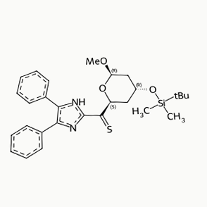 CO[C@H]1C[C@H](O[Si](C)(C)C(C)(C)C)C[C@@H](C(=S)c2nc(-c3ccccc3)c(-c3ccccc3)[nH]2)O1